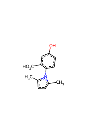 Cc1ccc(C)n1-c1ccc(O)cc1C(=O)O